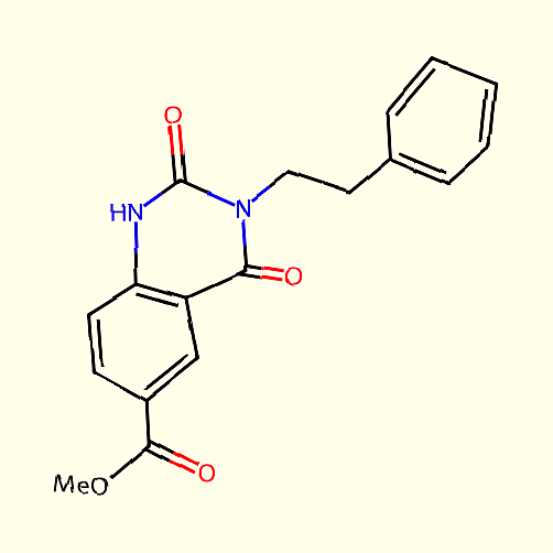 COC(=O)c1ccc2[nH]c(=O)n(CCc3ccccc3)c(=O)c2c1